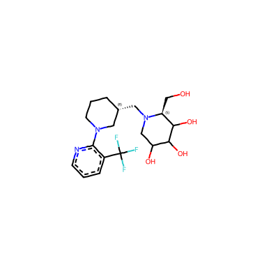 OC[C@H]1C(O)C(O)C(O)CN1C[C@H]1CCCN(c2ncccc2C(F)(F)F)C1